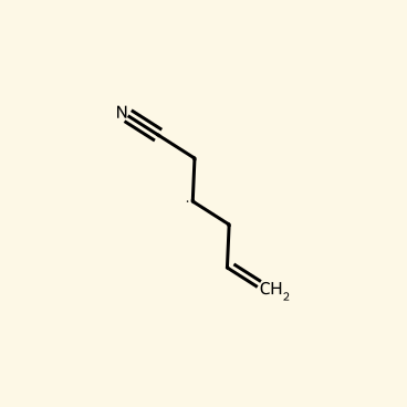 C=CC[CH]CC#N